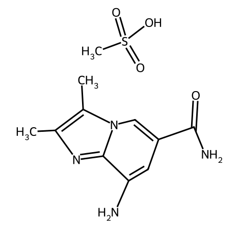 CS(=O)(=O)O.Cc1nc2c(N)cc(C(N)=O)cn2c1C